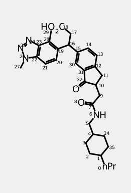 CCCC1CCC(CNC(=O)CC2Cc3ccc(C(CC(=O)O)c4ccc5c(nnn5C)c4C)cc3C2=O)CC1